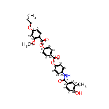 CCCOc1ccc(C(=O)Oc2ccc(C(=O)Oc3ccc(NC(=O)c4ccc(O)c(C)c4)cc3)cc2)c(OC)c1